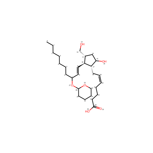 CCCCCCCC(/C=C/[C@H]1[C@H](CO)CC(O)[C@@H]1C/C=C\CCCC(=O)O)OC1CCCCO1